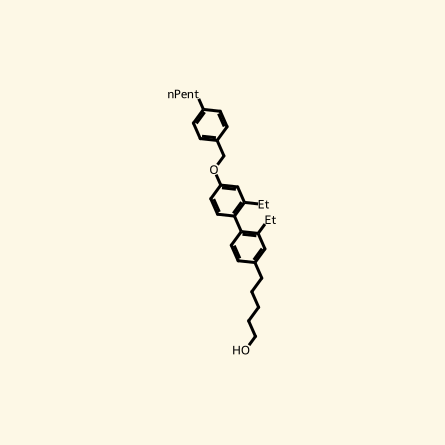 CCCCCc1ccc(COc2ccc(-c3ccc(CCCCCO)cc3CC)c(CC)c2)cc1